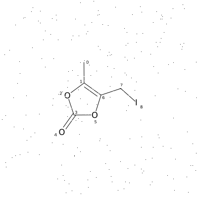 Cc1oc(=O)oc1CI